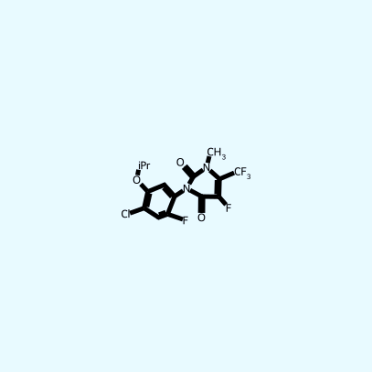 CC(C)Oc1cc(-n2c(=O)c(F)c(C(F)(F)F)n(C)c2=O)c(F)cc1Cl